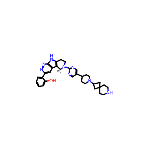 C[C@@H]1c2c([nH]c3nnc(-c4ccccc4O)cc23)CCN1c1ncc(C2CCN(C3CC4(CCNCC4)C3)CC2)cn1